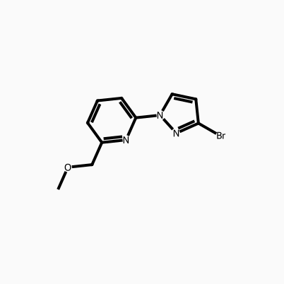 COCc1cccc(-n2ccc(Br)n2)n1